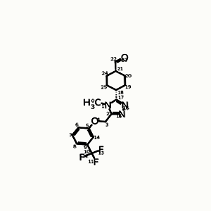 Cn1c(COc2cccc(C(F)(F)F)c2)nnc1[C@H]1CC[C@H](C=O)CC1